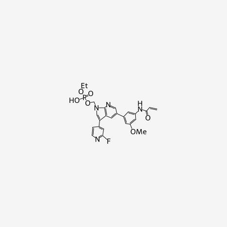 C=CC(=O)Nc1cc(OC)cc(-c2cnc3c(c2)c(-c2ccnc(F)c2)cn3COP(=O)(O)OCC)c1